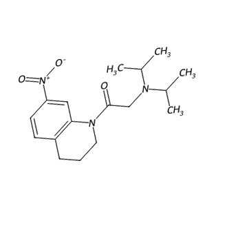 CC(C)N(CC(=O)N1CCCc2ccc([N+](=O)[O-])cc21)C(C)C